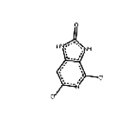 O=c1[nH]c2cc(Cl)nc(Cl)c2[nH]1